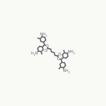 CC1CC(C(OC(=O)CCCCC(=O)OC(C2CCC(N)C(C)C2)C2CCC(N)C(C)C2)C2CCC(N)C(C)C2)CCC1N